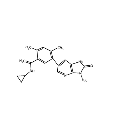 C=C(NC1CC1)c1cc(-c2cnc3c(c2)[nH]c(=O)n3C(C)(C)C)c(C)cc1C